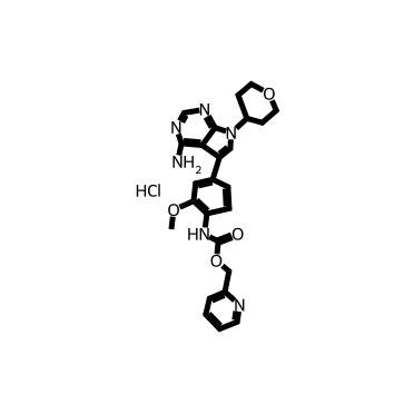 COc1cc(-c2cn(C3CCOCC3)c3ncnc(N)c23)ccc1NC(=O)OCc1ccccn1.Cl